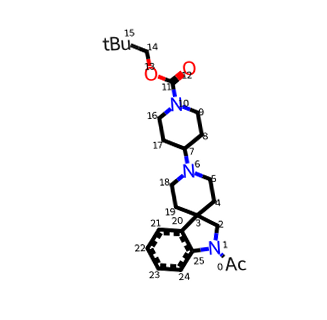 CC(=O)N1CC2(CCN(C3CCN(C(=O)OCC(C)(C)C)CC3)CC2)c2ccccc21